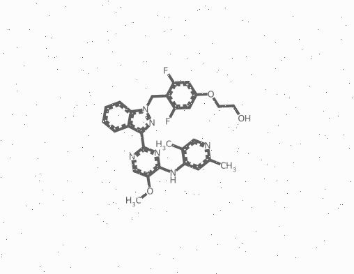 COc1cnc(-c2nn(Cc3c(F)cc(OCCO)cc3F)c3ccccc23)nc1Nc1cc(C)ncc1C